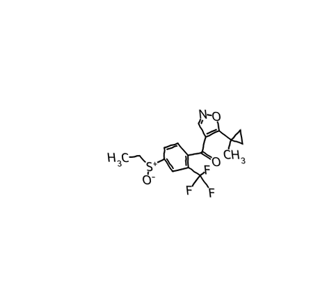 CC[S+]([O-])c1ccc(C(=O)c2cnoc2C2(C)CC2)c(C(F)(F)F)c1